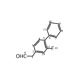 O=CCc1ccc(-c2ccccc2)c(F)c1